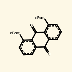 CCCCCc1cccc2c1C(=O)c1c(CCCCC)cccc1C2=O